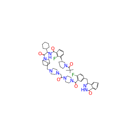 CC(C)(C)C(=O)N1CCC[C@@H](c2cccc(C(=O)N[C@@H](C(=O)N3CC4CCC3CC4CN3CCN(CC(=O)N4CCN(C(=O)c5cc(Cc6n[nH]c(=O)c7ccccc67)ccc5F)CC4)CC3)C3CCCCC3)c2F)C1